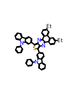 CCc1ccc2c(c1)c1cc(CC)ccc1c1nc3c(-c4ccc5c6ccccc6n(-c6ccccc6)c5c4)sc(-c4ccc5c6ccccc6n(-c6ccccc6)c5c4)c3nc21